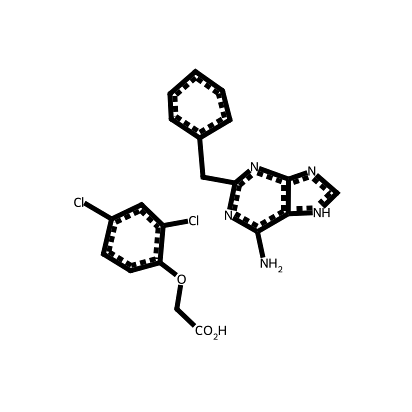 Nc1nc(Cc2ccccc2)nc2nc[nH]c12.O=C(O)COc1ccc(Cl)cc1Cl